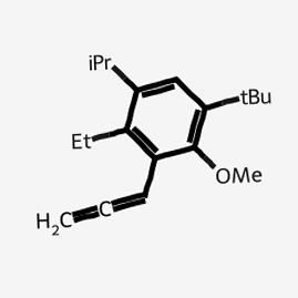 C=C=Cc1c(CC)c(C(C)C)cc(C(C)(C)C)c1OC